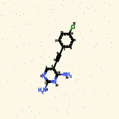 Nc1ncc(C#Cc2ccc(Cl)cc2)c(N)n1